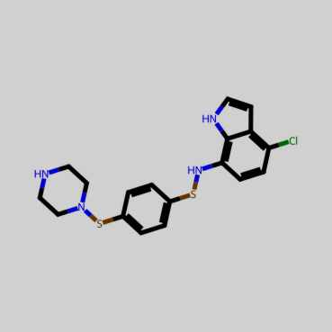 Clc1ccc(NSc2ccc(SN3CCNCC3)cc2)c2[nH]ccc12